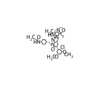 C=CC(=O)Nc1ccc(CCn2c(=O)c(-c3cc(OC)cc(OC)c3Cl)cc3cnc(NC(C)(C)CN4CCOCC4)nc32)cc1